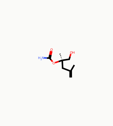 C=C(C)C[C@](C)(CO)OC(N)=O